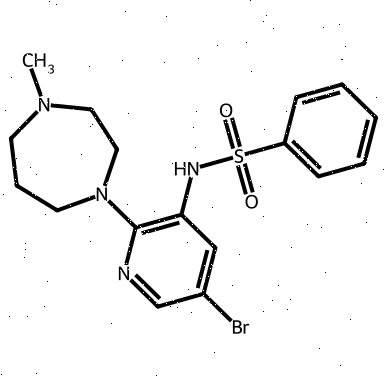 CN1CCCN(c2ncc(Br)cc2NS(=O)(=O)c2ccccc2)CC1